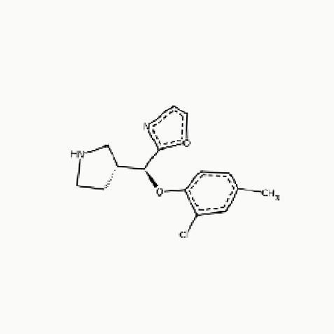 Cc1ccc(O[C@H](c2ncco2)[C@@H]2CCNC2)c(Cl)c1